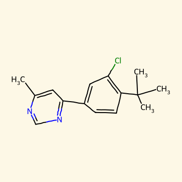 Cc1cc(-c2ccc(C(C)(C)C)c(Cl)c2)ncn1